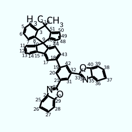 CC1(C)c2ccccc2C2(c3ccccc3-c3cc(-c4cc(-c5nc6ccccc6o5)cc(-c5nc6ccccc6o5)c4)ccc32)c2ccccc21